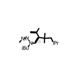 C=C(C)/C(=C\N(/N=N\C)C(C)CC)C(C)(C)CC(C)C